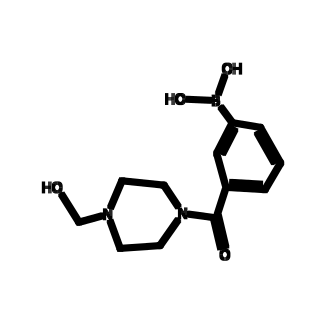 O=C(c1cccc(B(O)O)c1)N1CCN(CO)CC1